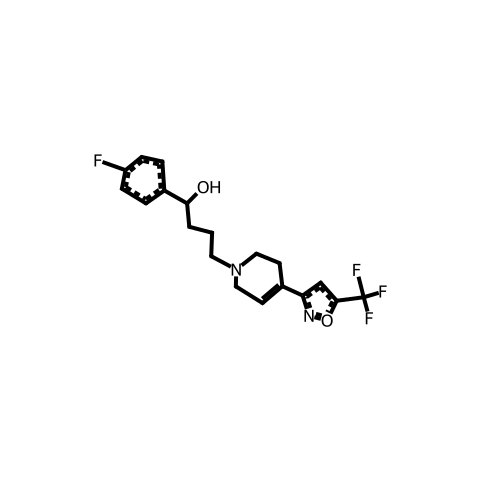 OC(CCCN1CC=C(c2cc(C(F)(F)F)on2)CC1)c1ccc(F)cc1